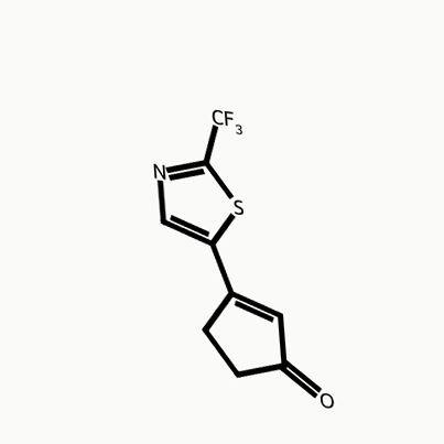 O=C1C=C(c2cnc(C(F)(F)F)s2)CC1